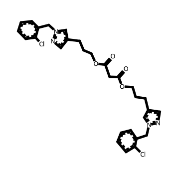 O=C(CC(=O)OCCCc1cnn(Cc2ccccc2Cl)c1)OCCCc1cnn(Cc2ccccc2Cl)c1